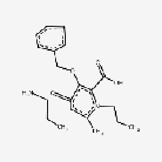 CCCN.CCCn1c(C)cc(=O)c(OCc2ccccc2)c1C(=O)O